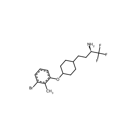 Cc1c(Br)cccc1OC1CCC(CC[C@@H](N)C(F)(F)F)CC1